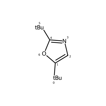 CC(C)(C)c1cnc(C(C)(C)C)o1